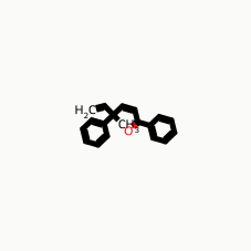 C=CC(C)(/C=C\C(=O)c1ccccc1)c1ccccc1